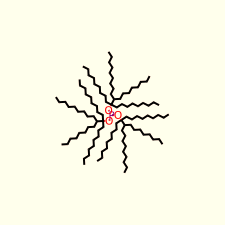 CCCCCCCCCC(CCCCCCCC)C(CCCCCCCCC)(CCCCCCCCC)OP(OC(CCCCCCCCC)(CCCCCCCCC)C(CCCCCCCC)CCCCCCCCC)OC(CCCCCCCCC)(CCCCCCCCC)C(CCCCCCCC)CCCCCCCCC